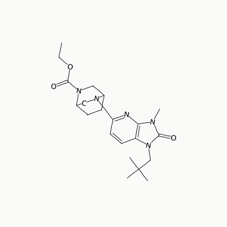 CCOC(=O)N1CC2CCC1CN2c1ccc2c(n1)n(C)c(=O)n2CC(C)(C)C